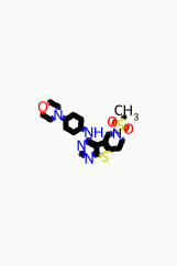 CCS(=O)(=O)N1CCc2sc3ncnc(NC4CCC(N5CCOCC5)CC4)c3c2C1